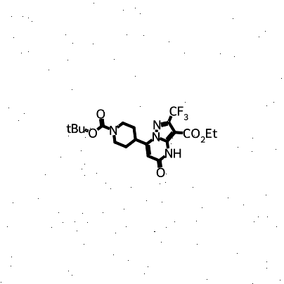 CCOC(=O)c1c(C(F)(F)F)nn2c(C3CCN(C(=O)OC(C)(C)C)CC3)cc(=O)[nH]c12